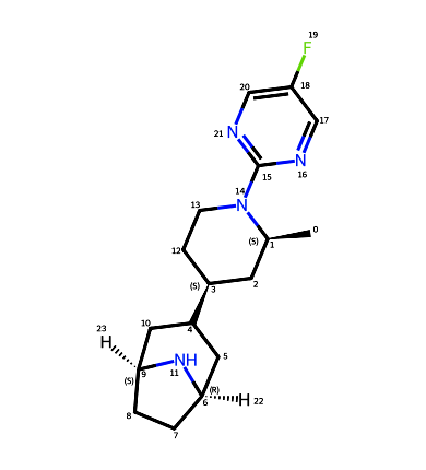 C[C@H]1C[C@@H](C2C[C@H]3CC[C@@H](C2)N3)CCN1c1ncc(F)cn1